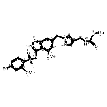 CCc1ccc(S(=O)(=O)Nc2noc3cc(Cn4cc(CNC(=O)OC(C)(C)C)cn4)cc(OC)c23)c(OC)c1